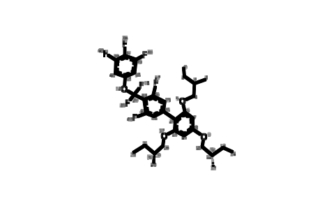 CCC(C)COc1cc(OC[C@@H](C)CC)cc(OC[C@@H](C)CC)c1-c1cc(F)c(C(F)(F)Oc2cc(F)c(F)c(F)c2)c(F)c1